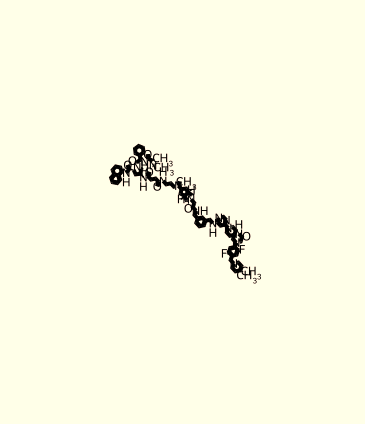 CN[C@@H](C)C(=O)N[C@H](C(=O)N1C[C@@H](NC(=O)CCC(=O)NCCCN(C)C2C[C@@H]3CN(CC(=O)NCc4cccc(CNc5cc(N6CCC7(CC6)CN(c6cc(F)c(CN8CCC(C)(C)CC8)cc6F)CC(=O)N7)ncn5)c4)C[C@@H]3C2)C[C@H]1C(=O)N[C@H]1CCCc2ccccc21)C1CCCCC1